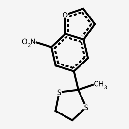 CC1(c2cc([N+](=O)[O-])c3occc3c2)SCCS1